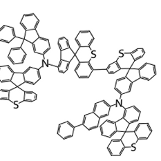 c1ccc(-c2ccc3cc(N(c4ccc5c(c4)-c4ccccc4C54c5ccccc5Sc5cc(-c6cccc7c6Sc6ccccc6C76c7ccccc7-c7c(N(c8ccc9c(c8)-c8ccccc8C98c9ccccc9Sc9ccccc98)c8ccc9c(c8)C(c8ccccc8)(c8ccccc8)c8ccccc8-9)cccc76)ccc54)c4cccc5c4-c4ccccc4C54c5ccccc5Sc5ccccc54)ccc3c2)cc1